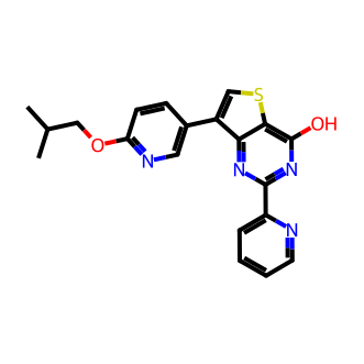 CC(C)COc1ccc(-c2csc3c(O)nc(-c4ccccn4)nc23)cn1